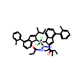 CCC(=O)N[B](NC(=O)CC)[Zr]([Cl])([Cl])([CH]1C(C(C)CC)=Cc2c(-c3ccccc3C)cccc21)[CH]1C(C(C)CC)=Cc2c(-c3ccccc3C)cccc21